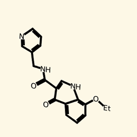 CCOc1cccc2c(=O)c(C(=O)NCc3cccnc3)c[nH]c12